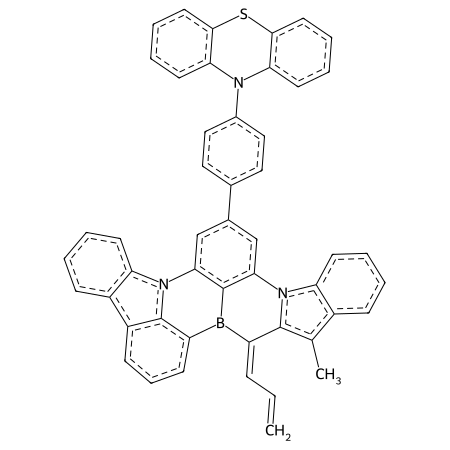 C=C/C=C1/B2c3c(cc(-c4ccc(N5c6ccccc6Sc6ccccc65)cc4)cc3-n3c4ccccc4c4cccc2c43)-n2c1c(C)c1ccccc12